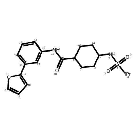 CC(C)S(=O)(=O)NC1CCC(C(=O)Nc2cccc(-c3ccco3)c2)CC1